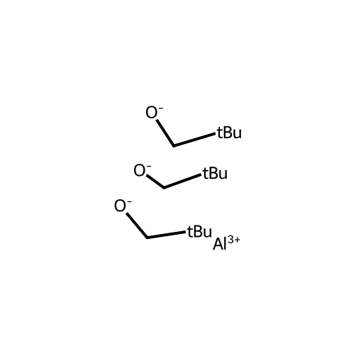 CC(C)(C)C[O-].CC(C)(C)C[O-].CC(C)(C)C[O-].[Al+3]